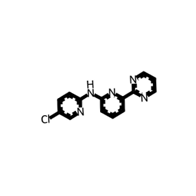 Clc1ccc(Nc2cccc(-c3ncccn3)n2)nc1